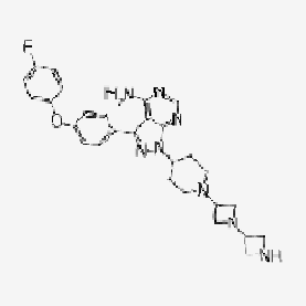 Nc1ncnc2c1c(-c1ccc(Oc3ccc(F)cc3)cc1)nn2C1CCN(C2CN(C3CNC3)C2)CC1